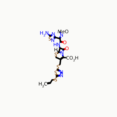 C=CCSc1nnc(SCC2=C(C(=O)O)N3C(=O)C(NC(=O)/C(=N/OC)c4nsc(N)n4)[C@H]3SC2)s1